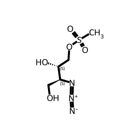 CS(=O)(=O)OC[C@@H](O)[C@H](CO)N=[N+]=[N-]